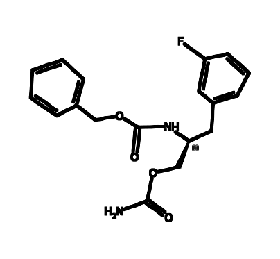 NC(=O)OC[C@H](Cc1cccc(F)c1)NC(=O)OCc1ccccc1